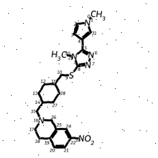 Cn1ccc(-c2nnc(SCC3CCC(CN4CCc5ccc([N+](=O)[O-])cc5C4)CC3)n2C)c1